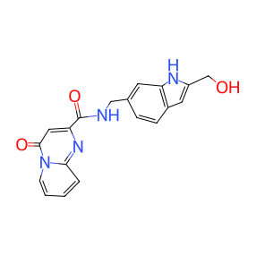 O=C(NCc1ccc2cc(CO)[nH]c2c1)c1cc(=O)n2ccccc2n1